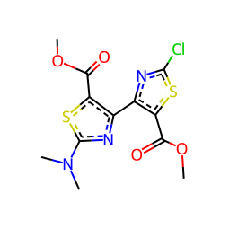 COC(=O)c1sc(Cl)nc1-c1nc(N(C)C)sc1C(=O)OC